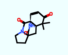 CC1(C)C(=O)C=C[C@]23NC(=O)C4(CCCN4C2=O)CC13